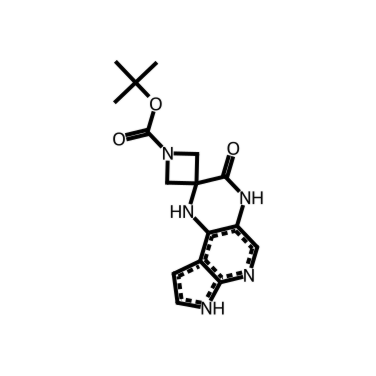 CC(C)(C)OC(=O)N1CC2(C1)Nc1c(cnc3[nH]ccc13)NC2=O